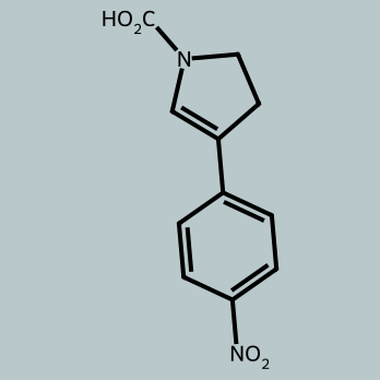 O=C(O)N1C=C(c2ccc([N+](=O)[O-])cc2)CC1